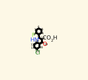 O=C(O)c1c(-c2ccccc2F)[nH]c2ccc(Cl)cc2c1=O